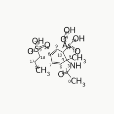 CC(=O)NC1(C)C=CC=CC1[As](=O)(O)OO.CCCS(=O)(=O)O